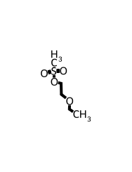 CCOCCOS(C)(=O)=O